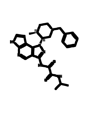 CC(C)NC(=O)C(=O)Nc1nn([C@H]2CN(Cc3ccccc3)CC[C@H]2C)c2c1cnc1[nH]ccc12